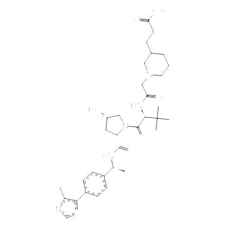 Cc1ncsc1-c1ccc([C@H](C)NC(=O)[C@@H]2C[C@@H](O)CN2C(=O)[C@@H](NC(=O)CN2CCCC(CCC(=O)O)C2)C(C)(C)C)cc1